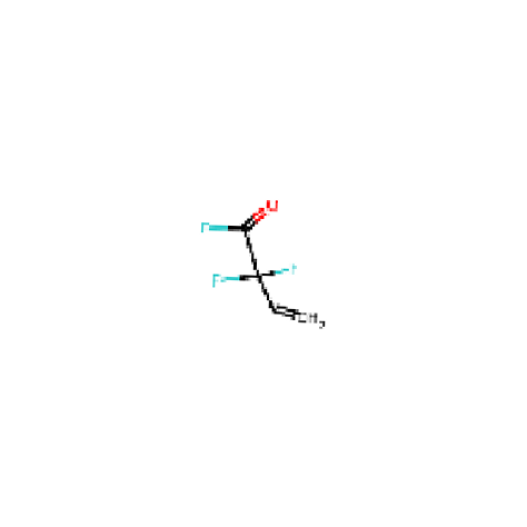 C=CC(F)(F)C(=O)F